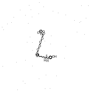 O=C(CCOCCOCCOCCOCCn1cc(CCCCNC(=S)Nc2ccc(O)cc2)nn1)ON1C(=O)CCC1=O